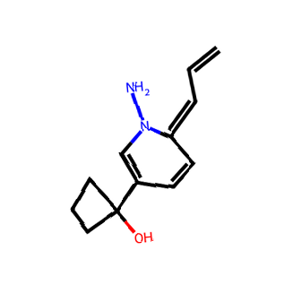 C=C/C=C1/C=CC(C2(O)CCC2)=CN1N